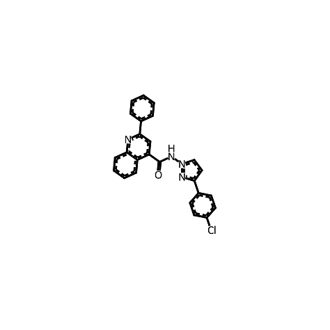 O=C(Nn1ccc(-c2ccc(Cl)cc2)n1)c1cc(-c2ccccc2)nc2ccccc12